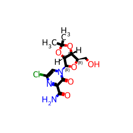 CC1(C)O[C@H]2[C@H](O1)[C@@H](CO)O[C@H]2n1cc(Cl)nc(C(N)=O)c1=O